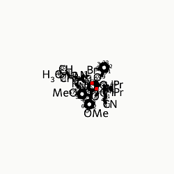 COc1ccc(C(OC[C@H]2O[C@@H](n3cnc4c(OCC[Si](C)(C)C)ncnc43)[C@H](OCc3ccccc3Br)[C@@H]2OP(OCCC#N)N(C(C)C)C(C)C)(c2ccccc2)c2ccc(OC)cc2)cc1